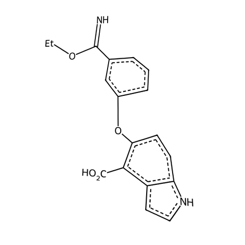 CCOC(=N)c1cccc(Oc2ccc3[nH]ccc3c2C(=O)O)c1